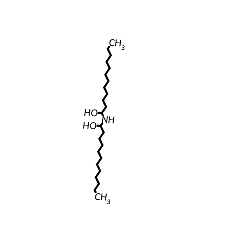 CCCCCCCCCCCC(O)NC(O)CCCCCCCCCCC